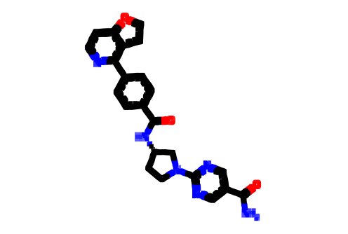 NC(=O)c1cnc(N2CC[C@H](NC(=O)c3ccc(-c4nccc5occc45)cc3)C2)nc1